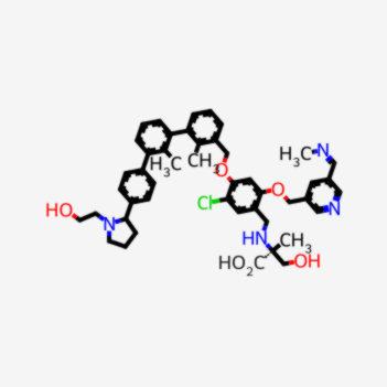 C/N=C\c1cncc(COc2cc(OCc3cccc(-c4cccc(-c5ccc(C6CCCN6CCO)cc5)c4C)c3C)c(Cl)cc2CN[C@@](C)(CO)C(=O)O)c1